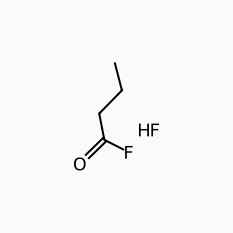 CCCC(=O)F.F